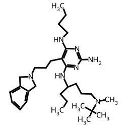 CCCCNc1nc(N)nc(NC(CCC)CCCN(C)C(C)(C)C)c1CCCN1Cc2ccccc2C1